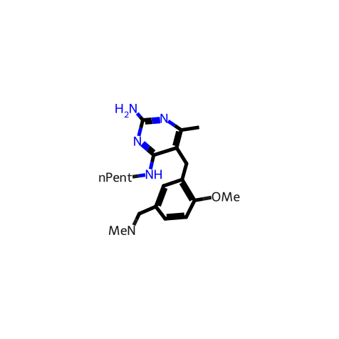 CCCCCNc1nc(N)nc(C)c1Cc1cc(CNC)ccc1OC